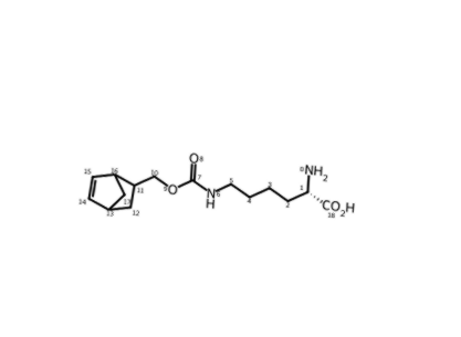 N[C@@H](CCCCNC(=O)OCC1CC2C=CC1C2)C(=O)O